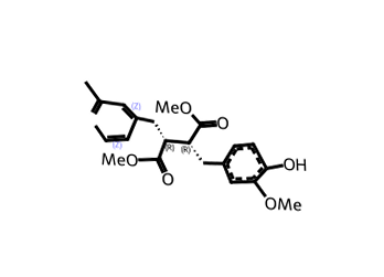 C=C(C)/C=C(\C=C/C)C[C@@H](C(=O)OC)[C@@H](Cc1ccc(O)c(OC)c1)C(=O)OC